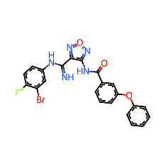 N=C(Nc1ccc(F)c(Br)c1)c1nonc1NC(=O)c1cccc(Oc2ccccc2)c1